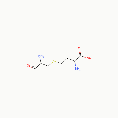 NC(C=O)CSCCC(N)C(=O)O